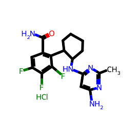 Cc1nc(N)cc(NC2CCCCC2c2c(C(N)=O)cc(F)c(F)c2F)n1.Cl